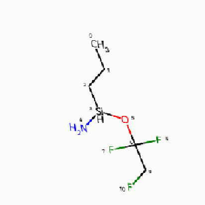 CCC[SiH](N)OC(F)(F)CF